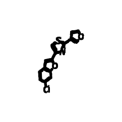 Clc1ccc2cc(-c3csc(-c4ccoc4)n3)oc2c1